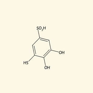 O=S(=O)(O)c1cc(O)c(O)c(S)c1